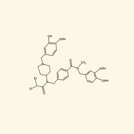 CCC(CC)C(=O)N(Cc1ccc(C(=O)N(C)Cc2ccc(OC)c(OC)c2)cc1)C1CCN(Cc2ccc(OC)c(O)c2)CC1